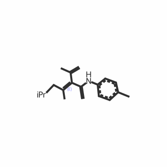 C=C(C)/C(C(=C)Nc1ccc(C)cc1)=C(/C)CC(C)C